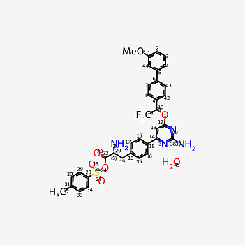 COc1cccc(-c2ccc([C@@H](Oc3cc(-c4ccc(C[C@H](N)C(=O)OS(=O)(=O)c5ccc(C)cc5)cc4)nc(N)n3)C(F)(F)F)cc2)c1.O